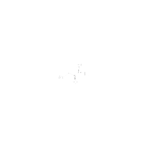 CCN(CC)C(=O)C[C](C)C